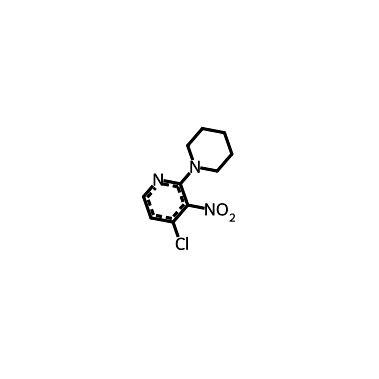 O=[N+]([O-])c1c(Cl)ccnc1N1CCCCC1